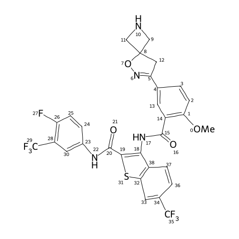 COc1ccc(C2=NOC3(CNC3)C2)cc1C(=O)Nc1c(C(=O)Nc2ccc(F)c(C(F)(F)F)c2)sc2cc(C(F)(F)F)ccc12